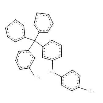 CC(C)(C)c1ccc(Nc2cccc(C(c3ccccc3)(c3ccccc3)c3cccc(S)c3)c2)cc1